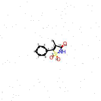 CC1=C(c2ccccc2)S(=O)(=O)NC1=O